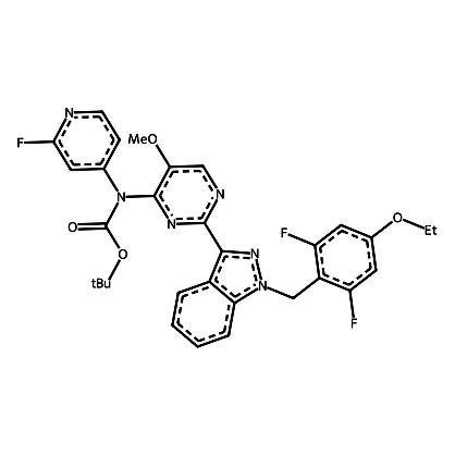 [CH2]COc1cc(F)c(Cn2nc(-c3ncc(OC)c(N(C(=O)OC(C)(C)C)c4ccnc(F)c4)n3)c3ccccc32)c(F)c1